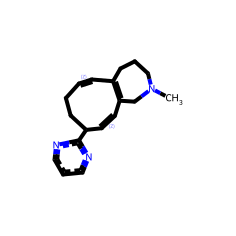 CN1CCCC2=C(/C=C\C(c3ncccn3)CC/C=C\2)C1